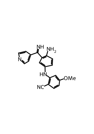 COc1ccc(C#N)c(Nc2ccc(N)c(C(=N)c3ccncc3)c2)c1